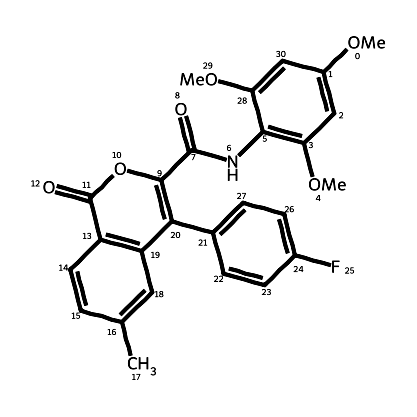 COc1cc(OC)c(NC(=O)c2oc(=O)c3ccc(C)cc3c2-c2ccc(F)cc2)c(OC)c1